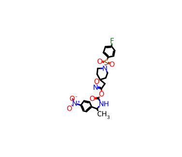 CC(NC(=O)OC1=NOC2(CCN(S(=O)(=O)c3ccc(F)cc3)CC2)C1)c1ccc([N+](=O)[O-])cc1